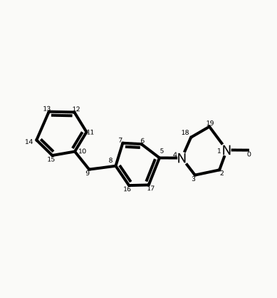 CN1CCN(c2ccc(Cc3ccccc3)cc2)CC1